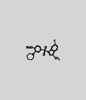 COc1ccc(S(=O)(=O)n2cc(C)c3ccc(F)cc32)cc1N1CCCCC1